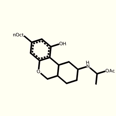 CCCCCCCCc1cc(O)c2c(c1)OCC1CCC(NC(C)OC(C)=O)CC21